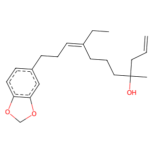 C=CCC(C)(O)CCCC(=CCCc1ccc2c(c1)OCO2)CC